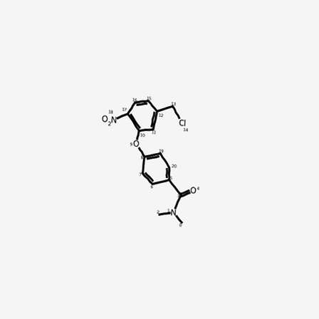 CN(C)C(=O)c1ccc(Oc2cc(CCl)ccc2[N+](=O)[O-])cc1